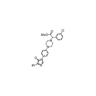 COC(=O)C(c1cccc(Cl)c1)N1CCN(c2ccc(-n3cnn(C(C)C)c3=O)cc2)CC1